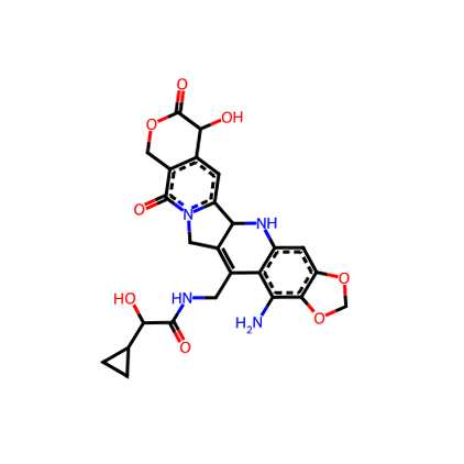 Nc1c2c(cc3c1C(CNC(=O)C(O)C1CC1)=C1Cn4c(cc5c(c4=O)COC(=O)C5O)C1N3)OCO2